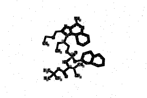 CCOCc1nc2c(N)nc3ccccc3c2n1[C@H](CC)CO[P@@](=O)(N[C@H](C(=O)OC(C)(C)C)C(C)C)Oc1ccc2ccccc2c1